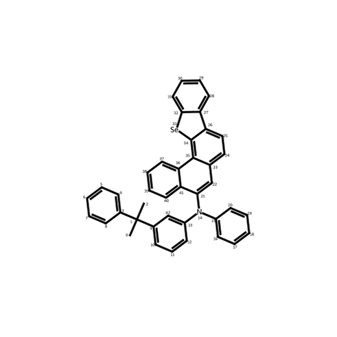 CC(C)(c1ccccc1)c1cccc(N(c2ccccc2)c2cc3ccc4c5ccccc5[se]c4c3c3ccccc23)c1